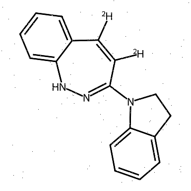 [2H]C1=C([2H])c2ccccc2NN=C1N1CCc2ccccc21